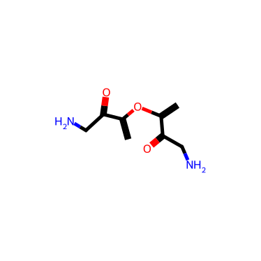 C=C(OC(=C)C(=O)CN)C(=O)CN